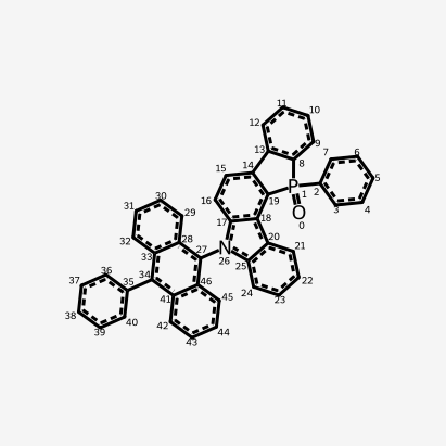 O=P1(c2ccccc2)c2ccccc2-c2ccc3c(c21)c1ccccc1n3-c1c2ccccc2c(-c2ccccc2)c2ccccc12